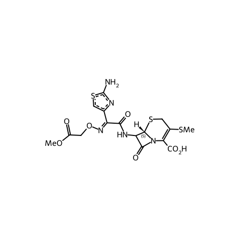 COC(=O)CON=C(C(=O)NC1C(=O)N2C(C(=O)O)=C(SC)CS[C@@H]12)c1csc(N)n1